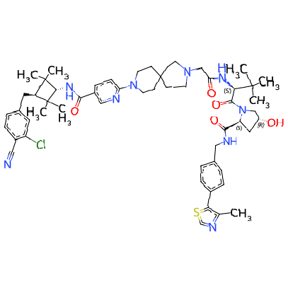 Cc1ncsc1-c1ccc(CNC(=O)[C@@H]2C[C@@H](O)CN2C(=O)[C@@H](NC(=O)CN2CCC3(CC2)CCN(c2ccc(C(=O)N[C@H]4C(C)(C)[C@H](Cc5ccc(C#N)c(Cl)c5)C4(C)C)cn2)CC3)C(C)(C)C)cc1